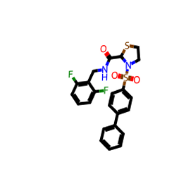 O=C(NCc1c(F)cccc1F)C1SCCN1S(=O)(=O)c1ccc(-c2ccccc2)cc1